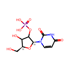 O=c1ccn([C@H]2O[C@@H](CO)C(O)C2OP(=O)(O)O)c(=O)[nH]1